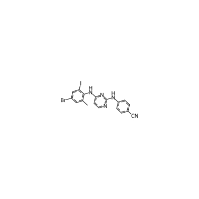 Cc1cc(Br)cc(I)c1Nc1ccnc(Nc2ccc(C#N)cc2)n1